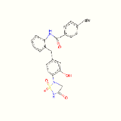 CC(C)(C)c1ccc(C(=O)Nc2ccccc2Cc2ccc(N3CC(=O)NS3(=O)=O)c(O)c2)cc1